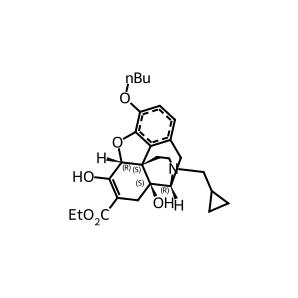 CCCCOc1ccc2c3c1O[C@H]1C(O)=C(C(=O)OCC)C[C@@]4(O)[C@@H](C2)N(CC2CC2)CC[C@]314